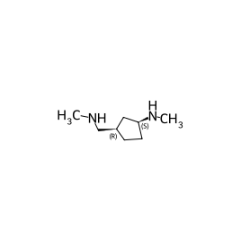 CNC[C@@H]1CC[C@H](NC)C1